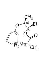 CC[C@@H](OC(=O)[C@H](C)N)[C@H](C)Oc1ccccc1